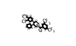 O=C(c1cc(C(F)(F)F)cc(C(F)(F)F)c1)N1CC[C@@H](c2ccc(Cl)c(Cl)c2)[C@@H](c2ccccc2)C1